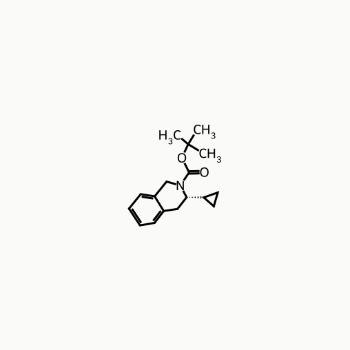 CC(C)(C)OC(=O)N1Cc2ccccc2C[C@H]1C1CC1